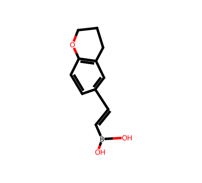 OB(O)/C=C/c1ccc2c(c1)CCCO2